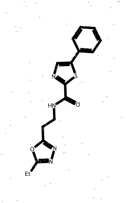 CCc1nnc(CCNC(=O)c2ncc(-c3ccccc3)s2)o1